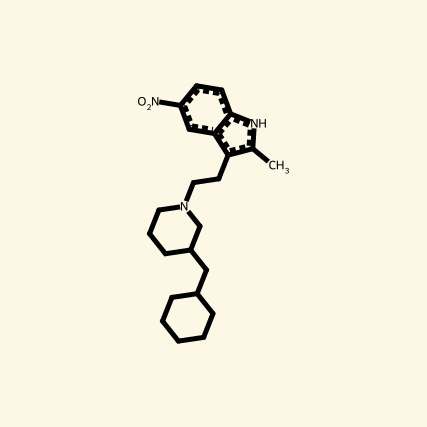 Cc1[nH]c2ccc([N+](=O)[O-])cc2c1CCN1CCCC(CC2CCCCC2)C1